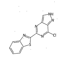 Clc1nc(-c2nc3ccccc3s2)nc2c[nH]nc12